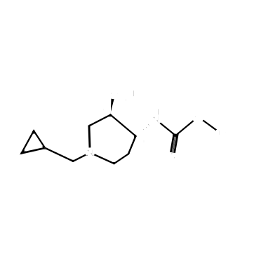 CC(C)(C)OC(=O)N[C@@H]1CCN(CC2CC2)C[C@H]1C(=O)O